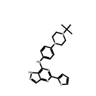 CC(C)(C)N1CCN(c2ccc(Nc3nc(-c4ccco4)nc4cn[nH]c34)cc2)CC1